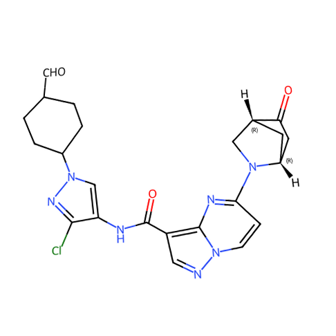 O=CC1CCC(n2cc(NC(=O)c3cnn4ccc(N5C[C@H]6C[C@@H]5CC6=O)nc34)c(Cl)n2)CC1